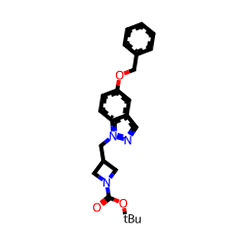 CC(C)(C)OC(=O)N1CC(Cn2ncc3cc(OCc4ccccc4)ccc32)C1